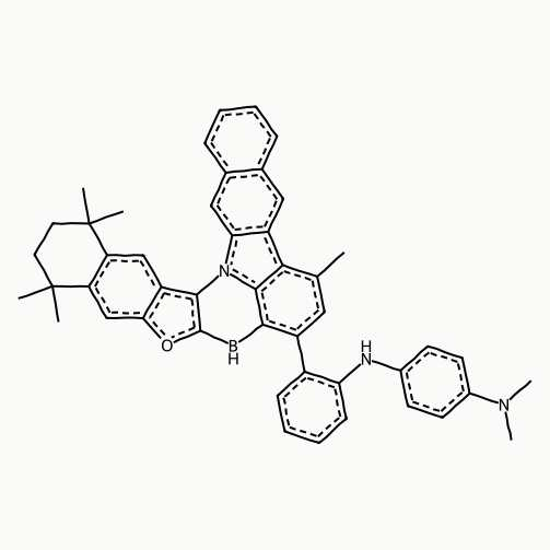 Cc1cc(-c2ccccc2Nc2ccc(N(C)C)cc2)c2c3c1c1cc4ccccc4cc1n3-c1c(oc3cc4c(cc13)C(C)(C)CCC4(C)C)B2